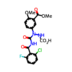 COC(=O)c1cc(N(NC(=O)O)C(=O)NC(=O)c2c(F)cccc2Cl)ccc1OC